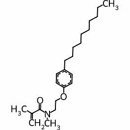 C=C(C)C(=O)N(C)CCOc1ccc(CCCCCCCCCC)cc1